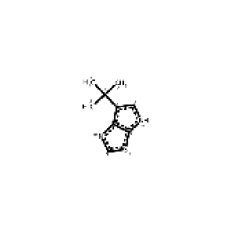 CC(C)(C)c1c[nH]c2scnc12